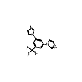 FC(F)(F)c1cc(-n2ccnc2)cc(-n2ccnc2)c1